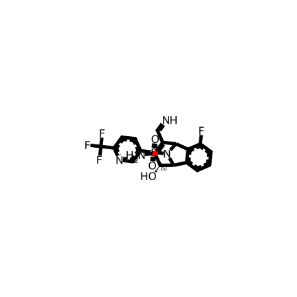 N=CC1=C(N)[C@@H](O)C2c3cccc(F)c3C1N2S(=O)(=O)c1ccc(C(F)(F)F)nc1